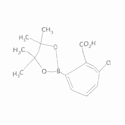 CC1(C)OB(c2cccc(Cl)c2C(=O)O)OC1(C)C